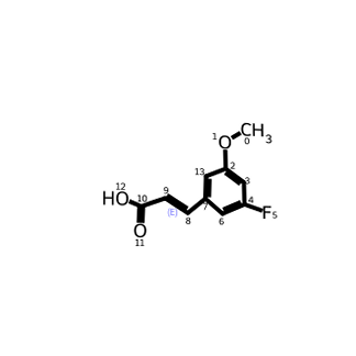 COc1cc(F)cc(/C=C/C(=O)O)c1